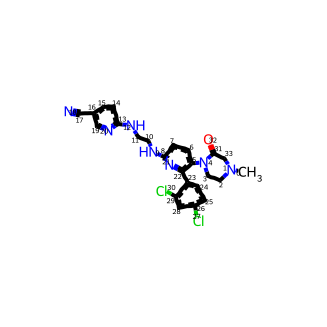 CN1CCN(c2ccc(NCCNc3ccc(C#N)cn3)nc2-c2ccc(Cl)cc2Cl)C(=O)C1